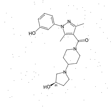 Cc1nn(-c2cccc(O)c2)c(C)c1C(=O)N1CCC(N2CC[C@@H](O)C2)CC1